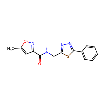 Cc1cc(C(=O)NCc2nnc(-c3ccccc3)s2)no1